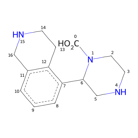 O=C(O)N1CCNCC1c1cccc2c1CCNC2